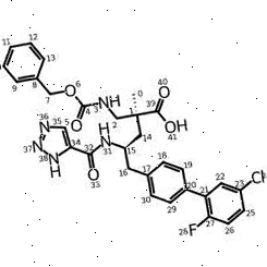 C[C@@](CNC(=O)OCc1ccccc1)(C[C@@H](Cc1ccc(-c2cc(Cl)ccc2F)cc1)NC(=O)c1cnn[nH]1)C(=O)O